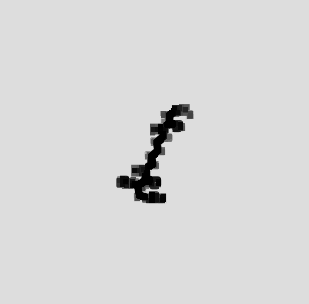 CC(C)(C)CC(C(=O)NCCCCCNC(=O)CN)C(C)(C)C